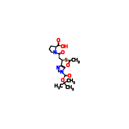 CC(=O)SC(CC(=O)N1CCC[C@H]1C(=O)O)c1cn(C(=O)OC(C)(C)C)cn1